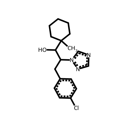 CC1(C(O)C(Cc2ccc(Cl)cc2)n2cncn2)CCCCC1